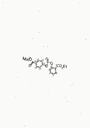 CCOC(=O)c1ccccc1OC(=O)Oc1ccc(C(=O)OC)cc1